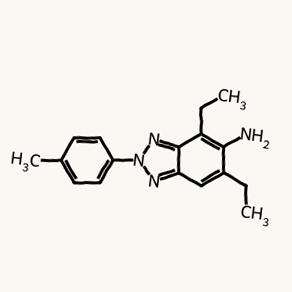 CCc1cc2nn(-c3ccc(C)cc3)nc2c(CC)c1N